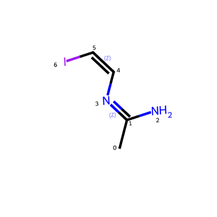 C/C(N)=N/C=C\I